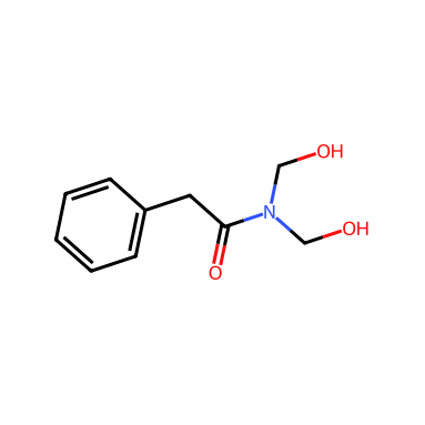 O=C(Cc1ccccc1)N(CO)CO